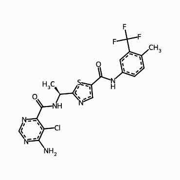 Cc1ccc(NC(=O)c2cnc([C@H](C)NC(=O)c3ncnc(N)c3Cl)s2)cc1C(F)(F)F